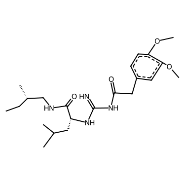 CC[C@H](C)CNC(=O)[C@@H](CC(C)C)NC(=N)NC(=O)Cc1ccc(OC)c(OC)c1